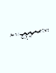 CCCCCCCCCCCCCCC(NC(C)=O)C(=O)O